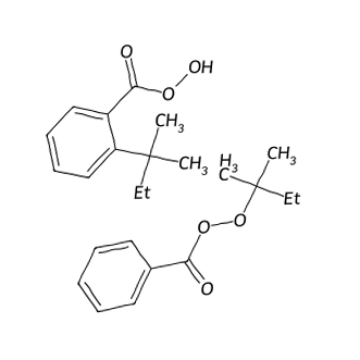 CCC(C)(C)OOC(=O)c1ccccc1.CCC(C)(C)c1ccccc1C(=O)OO